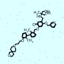 Cc1c(COc2cc(OCc3cccnc3)c(CNC(C)(CO)CO)cc2Cl)cccc1-c1cccc(OCCCN2CCC3(CCOC3)CC2)c1C